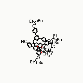 CCCCC(CC)COc1ccc(-c2cc(CC3(Cc4cc(-c5ccc(OCC(CC)CCCC)cc5)cc(-c5ccc(OCC(CC)CCCC)cc5)c4)c4cc(C#N)ccc4-c4ccc(B5OC(C)(C)C(C)(C)O5)cc43)cc(-c3ccc(OCC(CC)CCCC)cc3)c2)cc1